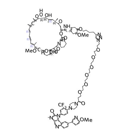 COc1ccc(-c2ccc3ncc4c(c3c2)n(-c2ccc(N3CCN(C(=O)CCOCCOCCOCCOCCOCCOCCn5cc(CCCCO[C@@H]6CC[C@@H](C[C@@H](N)[C@@H]7CC(=O)[C@H](C)/C=C(\C)[C@@H](O)[C@@H](O)C(=O)[C@H](C)C[C@H](C)/C=C/C=C/C=C(\C)[C@@H](OC)C[C@@H]8CC[C@@H](C)[C@@](O)(O8)C(=O)C(=O)N8CCCC[C@H]8C(=O)O7)C[C@H]6OC)nn5)CC3)c(C(F)(F)F)c2)c(=O)n4C)cn1